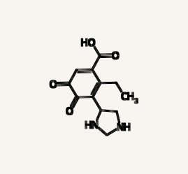 CCC1=C(C2CNCN2)C(=O)C(=O)C=C1C(=O)O